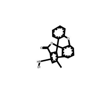 CCNc1cc(C)c(C)c2c1C(=O)OC21c2ccccc2Oc2ccccc21